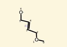 COC/C=C/C[O]